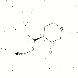 CCCCCCC(C)[C@H]1CCOC[C@@H]1O